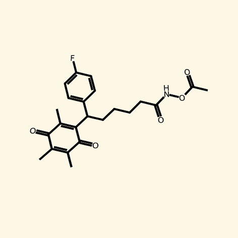 CC(=O)ONC(=O)CCCCC(C1=C(C)C(=O)C(C)=C(C)C1=O)c1ccc(F)cc1